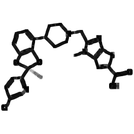 Cn1c(CN2CCC(c3cccc4c3O[C@@](C)(c3ccc(Cl)cn3)O4)CC2)nc2sc(C(=O)O)cc21